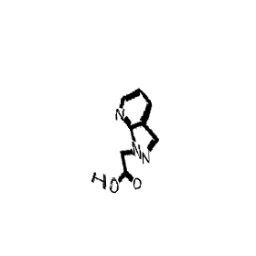 O=C(O)Cn1ncc2cccnc21